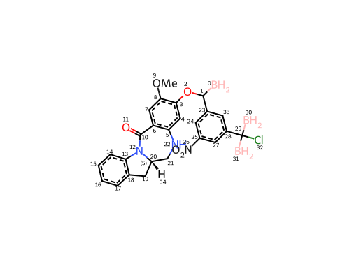 BC(Oc1cc2c(cc1OC)C(=O)N1c3ccccc3C[C@H]1CN2)c1cc([N+](=O)[O-])cc(C(B)(B)Cl)c1